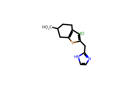 Cl.O=C(O)C1CCc2cc(Cc3ncc[nH]3)sc2C1